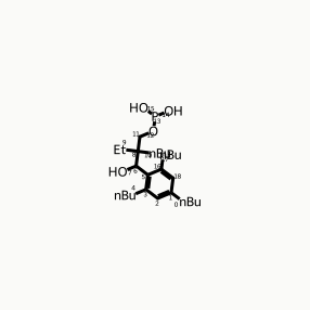 CCCCc1cc(CCCC)c(C(O)C(CC)(CCCC)COP(O)O)c(CCCC)c1